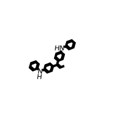 CC=C(c1ccc(Nc2ccccc2)cc1)c1ccc(Nc2ccccc2)cc1